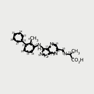 Cc1c(Nc2nsc3nc(C=NC(C)C(=O)O)cnc23)cccc1-c1ccccc1